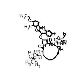 CCOc1ccc2c(oc3c(O[C@@H]4C[C@H]5C(=O)N[C@]6(C(=O)NS(=O)(=O)C7CC7)C[C@H]6/C=C\CCCCC[C@H](NC(=O)OC(C)(C)C)C(=O)N5C4)c4ccc(F)cc4nc32)c1C